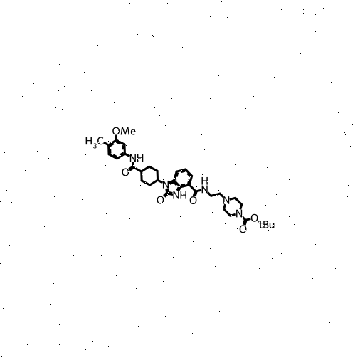 COc1cc(NC(=O)C2CCC(n3c(=O)[nH]c4c(C(=O)NCCN5CCN(C(=O)OC(C)(C)C)CC5)cccc43)CC2)ccc1C